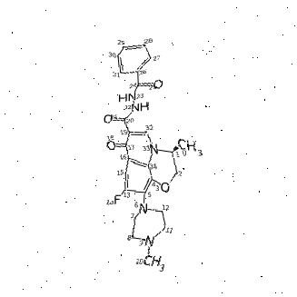 C[C@H]1COc2c(N3CCN(C)CC3)c(F)cc3c(=O)c(C(=O)NNC(=O)c4ccccc4)cn1c23